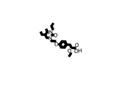 CCCNC(=O)N(CCOc1ccc(CC(OCC)C(=O)O)cc1)CC(CC)CC